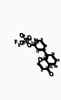 O=c1ccoc2c(-c3ccnc(OS(=O)(=O)C(F)(F)F)c3)cccc12